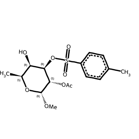 CO[C@@H]1O[C@@H](C)[C@@H](O)[C@@H](OS(=O)(=O)c2ccc(C)cc2)[C@@H]1OC(C)=O